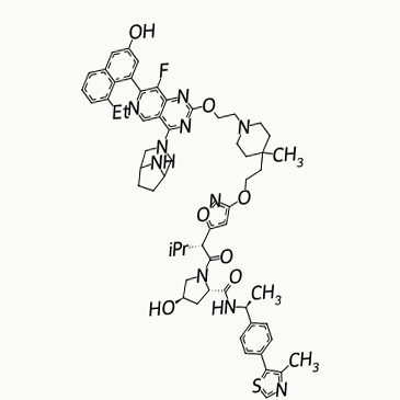 CCc1cccc2cc(O)cc(-c3ncc4c(N5CC6CCC(C5)N6)nc(OCCN5CCC(C)(CCOc6cc([C@H](C(=O)N7C[C@H](O)C[C@H]7C(=O)N[C@@H](C)c7ccc(-c8scnc8C)cc7)C(C)C)on6)CC5)nc4c3F)c12